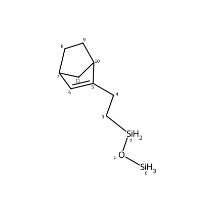 [SiH3]O[SiH2]CCC1=CC2CCC1C2